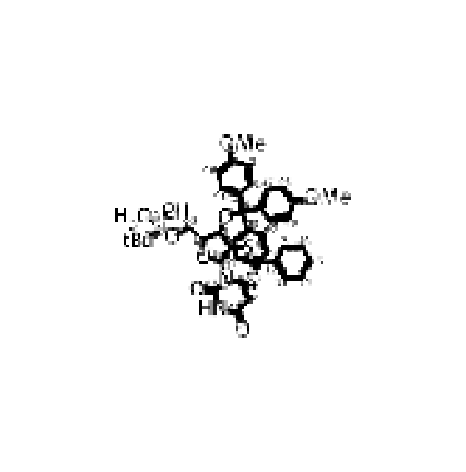 COc1ccc(C(OC2C(SC(=O)c3ccccc3)[C@@H](n3ccc(=O)[nH]c3=O)O[C@H]2CO[Si](C)(C)C(C)(C)C)(c2ccccc2)c2ccc(OC)cc2)cc1